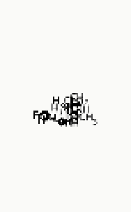 Cc1nc(N[C@H]2C[C@@H](COc3ccc(F)nc3)C2)nc2c1NC(=O)C(C(C)C)N2C